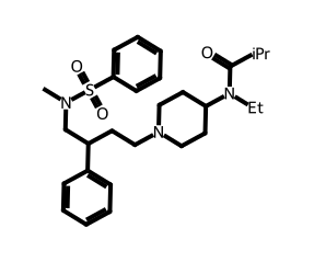 CCN(C(=O)C(C)C)C1CCN(CCC(CN(C)S(=O)(=O)c2ccccc2)c2ccccc2)CC1